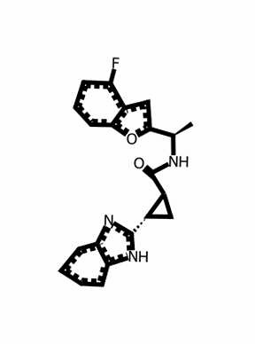 C[C@@H](NC(=O)C1C[C@@H]1c1nc2ccccc2[nH]1)c1cc2c(F)cccc2o1